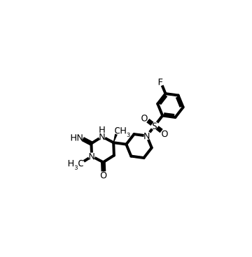 CN1C(=N)N[C@](C)(C2CCCN(S(=O)(=O)c3cccc(F)c3)C2)CC1=O